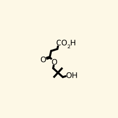 CC(C)(CO)COC(=O)CCC(=O)O